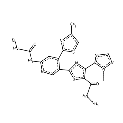 CCNC(=O)Nc1cc(-c2nc(C(F)(F)F)cs2)c(-c2nc(-c3ncnn3C)c(C(=O)NN)s2)cn1